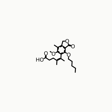 CCCCCOc1c2c(c(C)c(OC)c1/C(C)=C(/C)CCC(=O)O)COC2=O